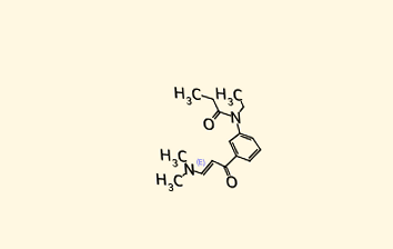 CCC(=O)N(CC)c1cccc(C(=O)/C=C/N(C)C)c1